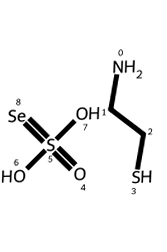 NCCS.O=S(O)(O)=[Se]